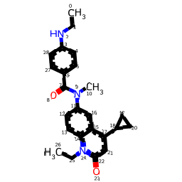 CCNc1ccc(C(=O)N(C)c2ccc3c(c2)c(C2CC2)cc(=O)n3CC)cc1